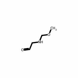 COCNCC=O